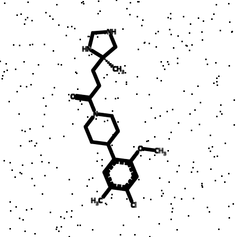 COc1cc(Cl)c(C)cc1C1CCN(C(=O)CC[C@]2(C)CNCN2)CC1